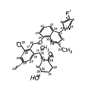 Cc1cc(-n2cc(F)cn2)c2cccc(OCc3c(Cl)cc(F)cc3[C@H](C)N3C[C@@H](O)CCC3=O)c2n1